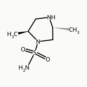 C[C@@H]1CN(S(N)(=O)=O)[C@@H](C)CN1